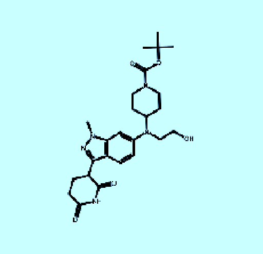 Cn1nc(C2CCC(=O)NC2=O)c2ccc(N(CCO)C3CCN(C(=O)OC(C)(C)C)CC3)cc21